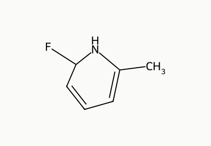 CC1=CC=CC(F)N1